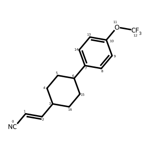 N#CC=CC1CCC(c2ccc(OC(F)(F)F)cc2)CC1